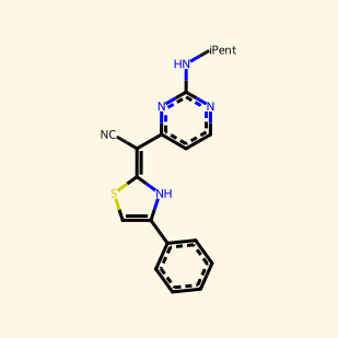 CCCC(C)Nc1nccc(C(C#N)=C2NC(c3ccccc3)=CS2)n1